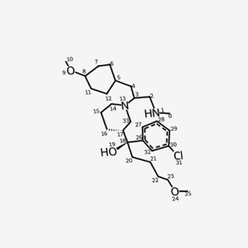 CNCC(CC1CCC(OC)CC1)N1CCC[C@@H]([C@@](O)(CCCCOC)c2cccc(Cl)c2)C1